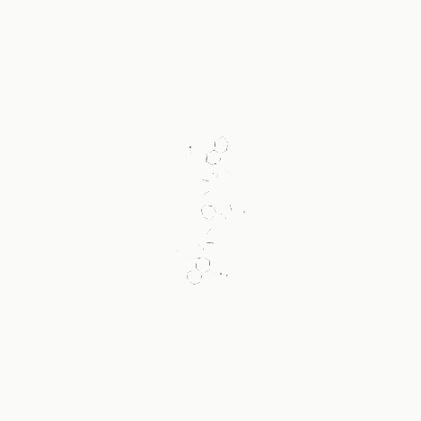 CC(C)(C)OP(=O)(O)Oc1cc2c(c3ccccc13)[C@H](CCl)CN2C(=O)C=Cc1ccc(C=CC(=O)N2C[C@@H](CCl)c3c2cc(OP(=O)(O)OC(C)(C)C)c2ccccc32)c(NC(=O)O)c1